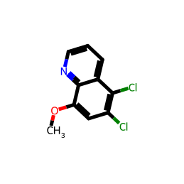 COc1cc(Cl)c(Cl)c2cccnc12